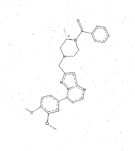 COc1ccc(-c2ccnc3cc(CN4CCN(C(=O)c5ccccc5)[C@@H](C)C4)nn23)cc1OC